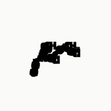 CN(Cc1ccc(Cl)cc1)Cc1ccc(C#Cc2cc(-c3nn(CCCN4CCN(c5ccccc5)CC4)c4c3CN(S(C)(=O)=O)CC4)ccc2Cl)cc1